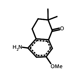 COc1cc(N)c2c(c1)C(=O)C(C)(C)CC2